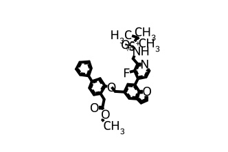 CCOC(=O)Cc1ccc(-c2ccccc2)cc1OCc1cc(-c2ccnc(CN[S@@+]([O-])C(C)(C)C)c2F)c2occc2c1